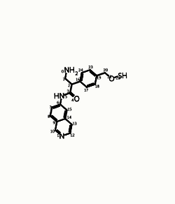 NCC(C(=O)Nc1ccc2cnccc2c1)c1ccc(COS)cc1